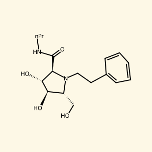 CCCNC(=O)[C@@H]1[C@@H](O)[C@H](O)[C@@H](CO)N1CCc1ccccc1